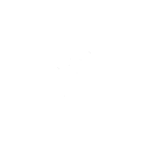 CCCCCCCC[S+]([O-])c1sc(C#N)cc1C#N